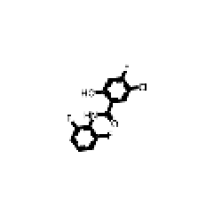 O=C(Nc1c(F)cccc1F)c1cc(Cl)c(F)cc1O